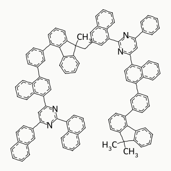 CC1(C)c2ccccc2-c2c(-c3cccc(-c4ccc(-c5cc(-c6ccccc6)nc(-c6cc(CC7(C)c8ccccc8-c8c(-c9cccc(-c%10ccc(-c%11cc(-c%12ccc%13ccccc%13c%12)nc(-c%12cccc%13ccccc%12%13)n%11)c%11ccccc%10%11)c9)cccc87)cc7ccccc67)n5)c5ccccc45)c3)cccc21